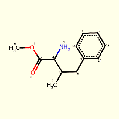 COC(=O)C(N)C(C)Cc1ccccc1